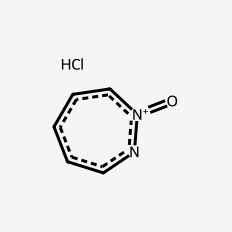 Cl.O=[n+]1cccccn1